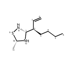 C=C[C@@H](CCCC)[C@H]1NS[C@@H](C)N1